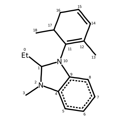 CCC1N(C)c2ccccc2N1C1=C(C)C=CCC1C